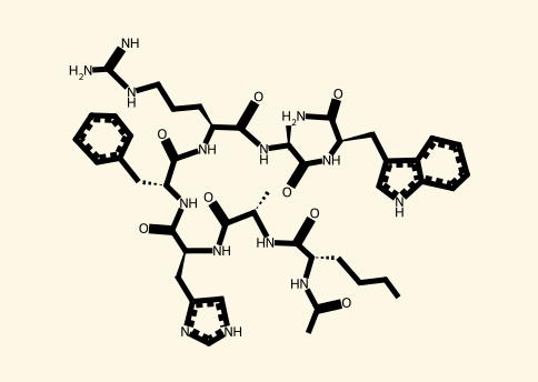 CCCC[C@H](NC(C)=O)C(=O)N[C@@H](C)C(=O)N[C@@H](Cc1c[nH]cn1)C(=O)N[C@H](Cc1ccccc1)C(=O)N[C@@H](CCCNC(=N)N)C(=O)N[C@@H](C)C(=O)N[C@H](Cc1c[nH]c2ccccc12)C(N)=O